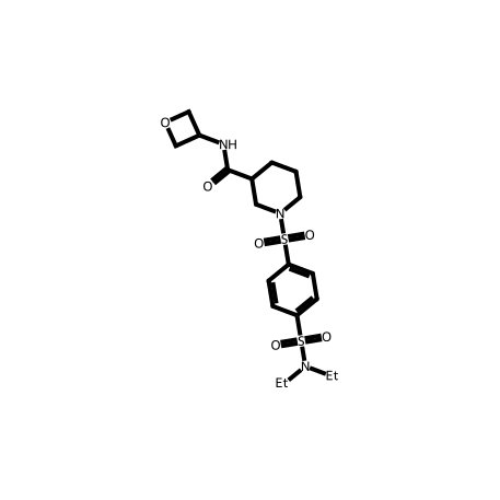 CCN(CC)S(=O)(=O)c1ccc(S(=O)(=O)N2CCCC(C(=O)NC3COC3)C2)cc1